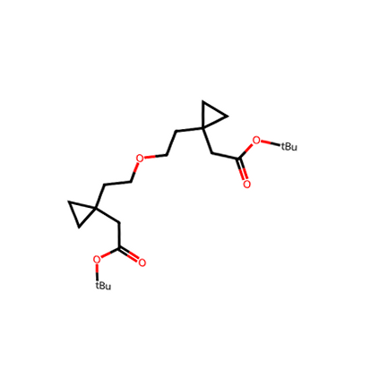 CC(C)(C)OC(=O)CC1(CCOCCC2(CC(=O)OC(C)(C)C)CC2)CC1